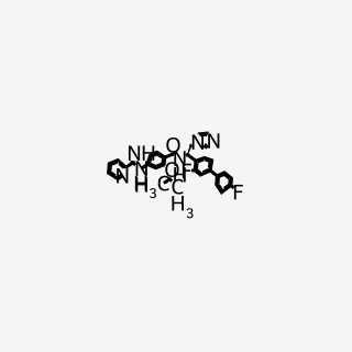 CC(C)Oc1cc(NC(=N)c2ccccn2)ccc1C(=O)N[C@@H](Cn1ccnc1)c1ccc(-c2ccc(F)cc2)cc1F